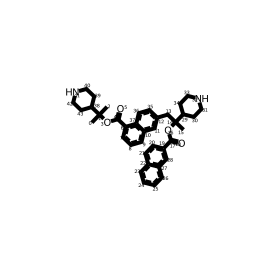 CC(C)(OC(=O)c1cccc2cc(CC(C)(OC(=O)c3ccc4ccccc4c3)C3CCNCC3)ccc12)C1CCNCC1